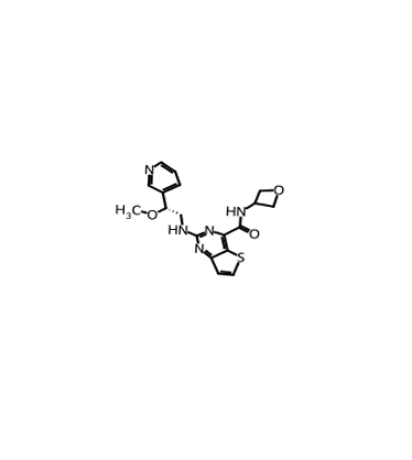 CO[C@@H](CNc1nc(C(=O)NC2COC2)c2sccc2n1)c1cccnc1